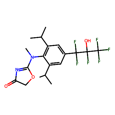 CC(C)c1cc(C(F)(F)C(O)(F)C(F)(F)F)cc(C(C)C)c1N(C)C1=NC(=O)CO1